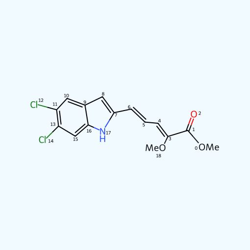 COC(=O)/C(=C/C=C/c1cc2cc(Cl)c(Cl)cc2[nH]1)OC